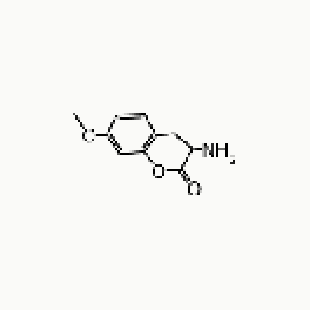 COc1ccc2c(c1)OC(=O)C(N)C2